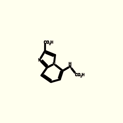 O=C(O)Nc1cccc2nc(C(=O)O)cn12